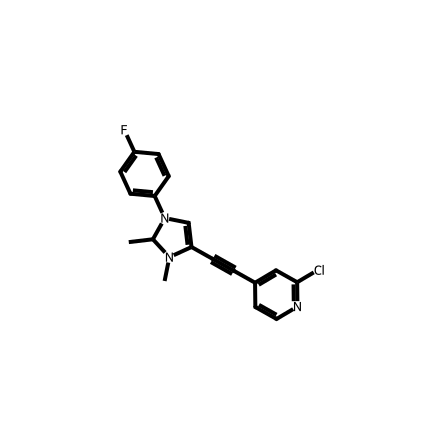 CC1N(C)C(C#Cc2ccnc(Cl)c2)=CN1c1ccc(F)cc1